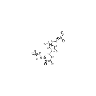 C=CC(=O)SCC[N+](CC)(CCC)CCCCC(=C)C(=O)SCC[N+](C)(C)C